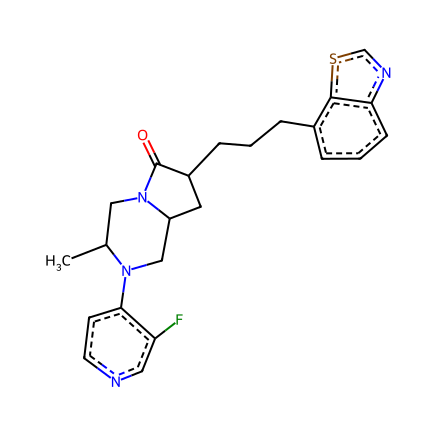 CC1CN2C(=O)C(CCCc3cccc4ncsc34)CC2CN1c1ccncc1F